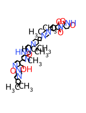 C[C@@H]1[C@H](C)N(c2ccc3c(c2)C(=O)N(C2CCC(=O)NC2=O)C3=O)CCN1C1CC2(CCN(c3ccc(Nc4cc(-c5ccnc(N6CCn7c(cc8c7CC(C)(C)C8)C6=O)c5CO)cn(C)c4=O)nc3)[C@@H](C(C)(C)C)C2)C1